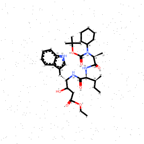 CCOC(=O)CC(O)[C@H](Cc1c[nH]c2ccccc12)NC(=O)[C@@H](NC(=O)[C@H](C)N(C(=O)OC(C)(C)C)C1CCCCC1)[C@@H](C)CC